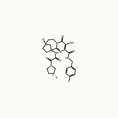 O=C(N[C@]12CC[C@H](CCn3c1nc(C(=O)NCc1ccc(F)cc1)c(O)c3=O)C2)C(=O)N1CC[C@@H](F)C1